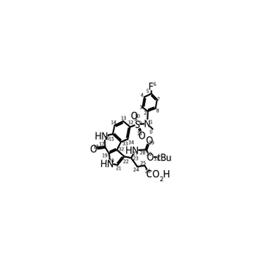 CN(c1ccc(F)cc1)S(=O)(=O)c1ccc2[nH]c(=O)c3[nH]cc(C(CCC(=O)O)NC(=O)OC(C)(C)C)c3c2c1